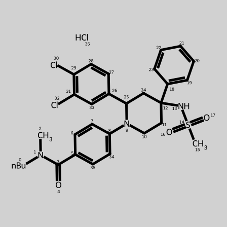 CCCCN(C)C(=O)c1ccc(N2CCC(NS(C)(=O)=O)(c3ccccc3)CC2c2ccc(Cl)c(Cl)c2)cc1.Cl